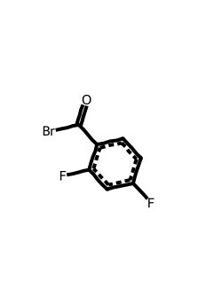 O=C(Br)c1ccc(F)cc1F